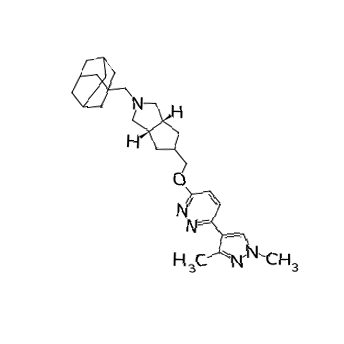 Cc1nn(C)cc1-c1ccc(OCC2C[C@@H]3CN(CC45CC6CC(CC(C6)C4)C5)C[C@@H]3C2)nn1